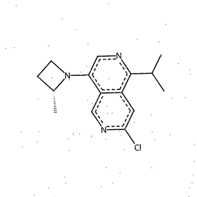 CC(C)c1ncc(N2CC[C@H]2C)c2cnc(Cl)cc12